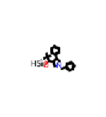 C[SiH](C)O[C@H](C1CN(Cc2ccccc2)CC1c1ccccc1)C(C)(C)C